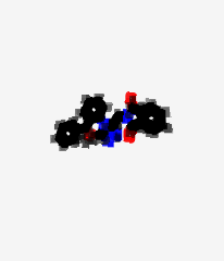 Cc1nnc(CN2C(=O)c3ccccc3C2=O)n1-c1ccccc1C(=O)c1ccccc1